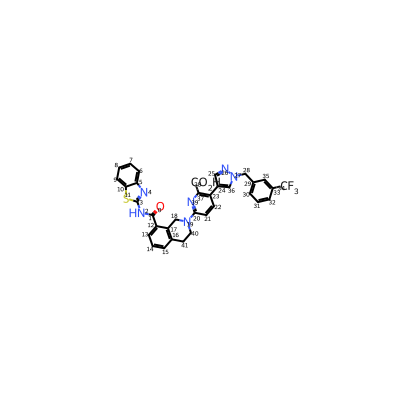 O=C(Nc1nc2ccccc2s1)c1cccc2c1CN(c1ccc(-c3cnn(Cc4cccc(C(F)(F)F)c4)c3)c(C(=O)O)n1)CC2